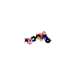 CC(C)(C)OC(=O)N1CC=C(c2ccc(S(=O)(=O)N[C@@]3(C(=O)O)CC3c3ccccc3)s2)CC1